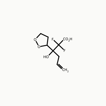 C=CCC(O)(C1CCOO1)C(F)(F)C(=O)O